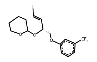 FC(F)(F)c1cccc(OC[C@@H](/C=C/I)OC2CCCCO2)c1